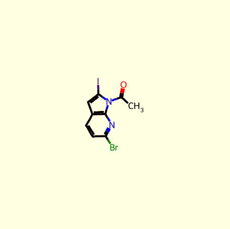 CC(=O)n1c(I)cc2ccc(Br)nc21